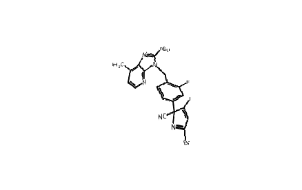 CCCCc1nc2c(C)ccnc2n1Cc1ccc(C2(C#N)N=C(Br)C=C2I)cc1F